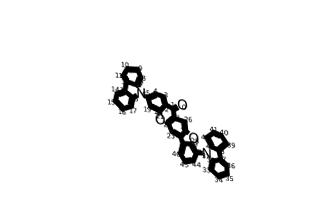 O=c1c2ccc(-n3c4ccccc4c4ccccc43)cc2oc2cc3c(cc12)oc1c(-n2c4ccccc4c4ccccc42)cccc13